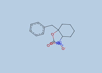 NC(=O)OC1(Cc2ccccc2)CCCCC1[N+](=O)[O-]